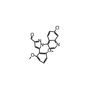 COc1cccc(OC)c1-c1cc(C=O)nn1-c1ccnc2cc(Cl)ccc12